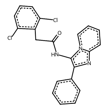 O=C(Cc1c(Cl)cccc1Cl)Nc1c(-c2ccccc2)nc2ccccn12